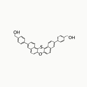 OCc1ccc(-c2ccc3c4c(ccc3c2)Oc2ccc3cc(-c5ccc(CO)cc5)ccc3c2S4)cc1